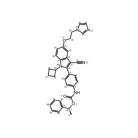 C[C@H](OC(=O)Nc1ccc(-c2c(C#N)c3cc(OCCn4ccnc4)ccc3n2C2CCC2)cc1)c1ccccc1